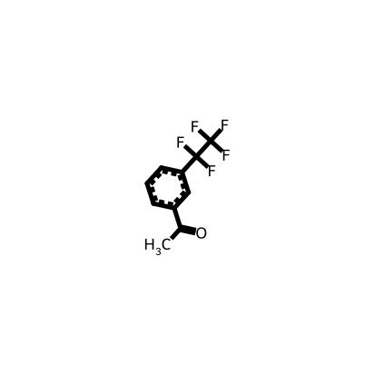 CC(=O)c1cccc(C(F)(F)C(F)(F)F)c1